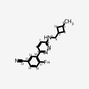 CC1CC(CNc2ccc(-c3cc(C#N)ccc3F)nn2)C1